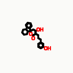 O=C1OC(c2ccccc2)(C2CCCCC2)CC(O)=C1CCCc1cccc(O)c1